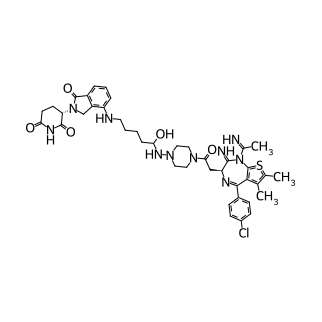 CC(=N)N1C(=N)[C@H](CC(=O)N2CCN(NC(O)CCCCNc3cccc4c3CN([C@H]3CCC(=O)NC3=O)C4=O)CC2)N=C(c2ccc(Cl)cc2)c2c1sc(C)c2C